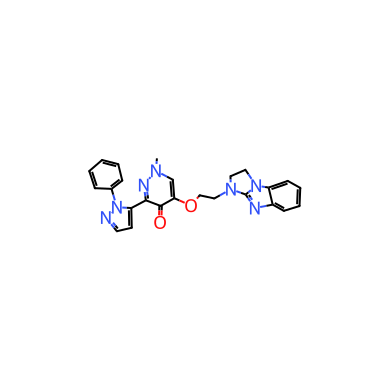 Cn1cc(OCCN2CCn3c2nc2ccccc23)c(=O)c(-c2ccnn2-c2ccccc2)n1